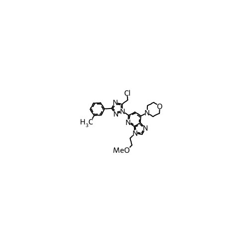 COCCn1cnc2c(N3CCOCC3)cc(-n3nc(-c4cccc(C)c4)nc3CCl)nc21